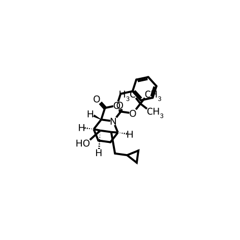 CC(C)(C)OC(=O)N1[C@H]2CC[C@H]([C@H](O)C2CC2CC2)[C@@H]1C(=O)OCc1ccccc1